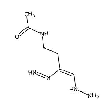 CC(=O)NCC/C(=C/NN)N=N